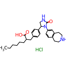 CCCCCCC(Cc1ccc(C2CNC(=O)N2c2ccc3c(c2)CCNCC3)cc1)C(=O)O.Cl